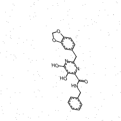 O=C(NCc1ccccc1)c1nc(Cc2ccc3c(c2)OCO3)nc(O)c1O